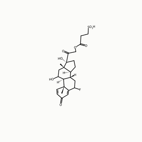 C[C@]12C=CC(=O)C=C1C(F)C[C@@H]1[C@@H]2C(O)C[C@@]2(C)[C@H]1CC[C@]2(O)C(=O)COC(=O)CCS(=O)(=O)O